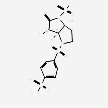 CCC[C@H]1C(=O)N(S(C)(=O)=O)[C@H]2CCN(S(=O)(=O)c3ccc(S(C)(=O)=O)cc3)[C@H]12